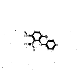 CNc1ccc(Br)c(Sc2ccccc2)c1[N+](=O)[O-]